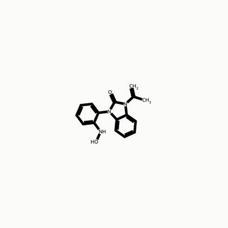 C=C(C)n1c(=O)n(-c2ccccc2NO)c2ccccc21